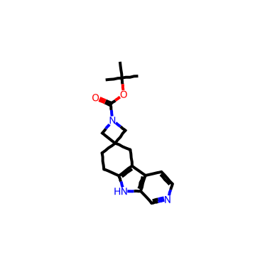 CC(C)(C)OC(=O)N1CC2(CCc3[nH]c4cnccc4c3C2)C1